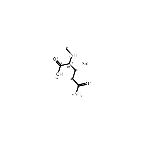 CN[C@@H](CCC(N)=O)C(=O)O.[Sn]